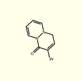 CC(C)C1=CCN2C=CC=CN2C1=O